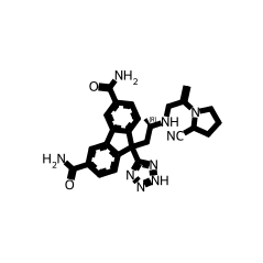 C=C(CN[C@H](C)CC1(c2nn[nH]n2)c2ccc(C(N)=O)cc2-c2cc(C(N)=O)ccc21)N1CCCC1C#N